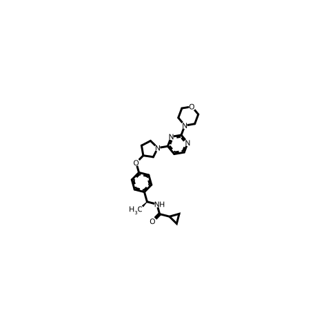 C[C@H](NC(=O)C1CC1)c1ccc(OC2CCN(c3ccnc(N4CCOCC4)n3)C2)cc1